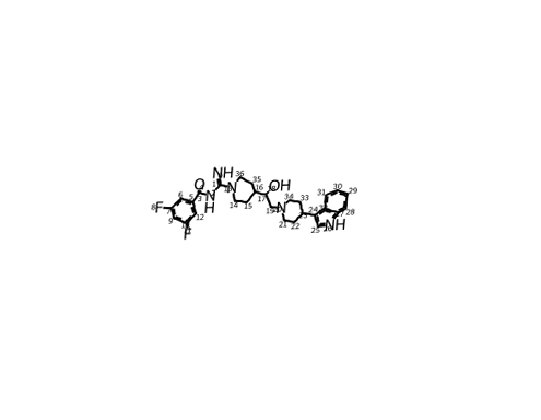 N=C(NC(=O)c1cc(F)cc(F)c1)N1CCC(C(O)CN2CCC(c3c[nH]c4ccccc34)CC2)CC1